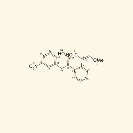 CO/C=C(/C(=O)O)c1ccccc1C(Cc1cccc([N+](=O)[O-])c1)=NO